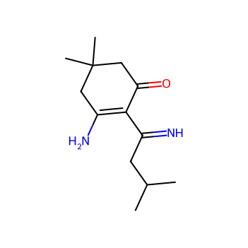 CC(C)CC(=N)C1=C(N)CC(C)(C)CC1=O